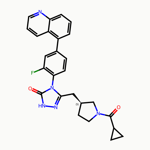 O=C(C1CC1)N1CC[C@@H](Cc2n[nH]c(=O)n2-c2ccc(-c3cccc4ncccc34)cc2F)C1